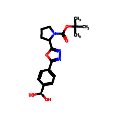 CC(C)(C)OC(=O)N1CCCC1c1nnc(-c2ccc(B(O)O)cc2)o1